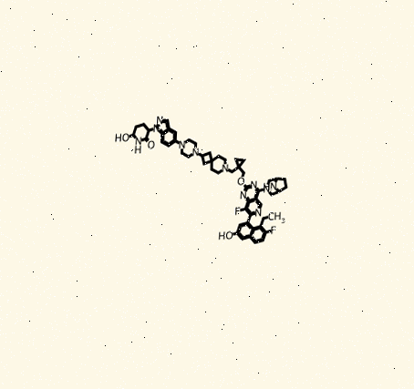 CCc1c(F)ccc2cc(O)cc(-c3ncc4c(N5CC6CCC(C5)N6)nc(OCC5(CN6CCC7(CC6)CC(N6CCN(c8ccc9c(cnn9C9CCC(O)NC9=O)c8)CC6)C7)CC5)nc4c3F)c12